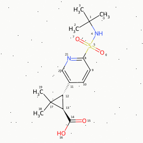 CC(C)(C)NS(=O)(=O)c1ccc([C@@H]2[C@@H](C(=O)O)C2(C)C)cn1